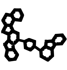 c1ccc2c(c1)ccc1sc3c(cc(-c4ccc(-c5cccc6c5sc5ccccc56)cc4)n4c5ccccc5nc34)c12